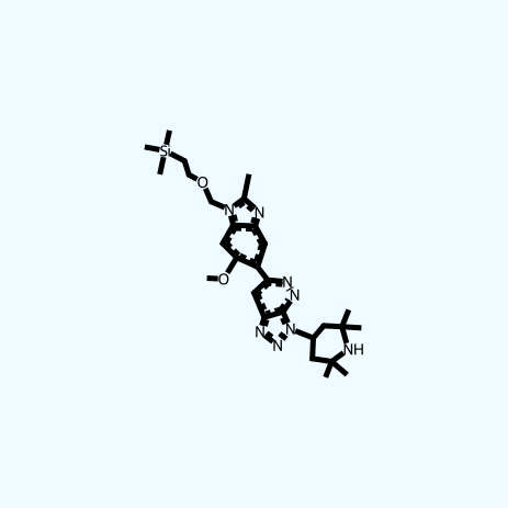 COc1cc2c(cc1-c1cc3nnn(C4CC(C)(C)NC(C)(C)C4)c3nn1)nc(C)n2COCC[Si](C)(C)C